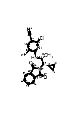 C[C@@H](Nc1nc(Cl)c(C#N)cc1F)[C@H](C1CC1)N1C(=O)c2ccccc2C1=O